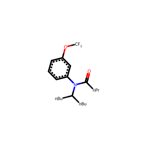 CCCCC(CCCC)N(C(=O)CCC)c1cccc(OC(F)(F)F)c1